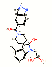 Cc1cccc2c1C1(CCN(C(=O)c3ccc4[nH]ncc4c3)CC1)C(O)N2CC(O)O